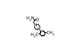 Cc1ccc(C)c(N2CCN(CC(N)=O)CC2)c1